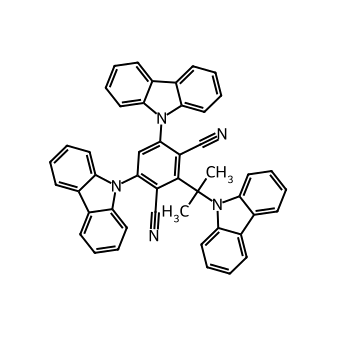 CC(C)(c1c(C#N)c(-n2c3ccccc3c3ccccc32)cc(-n2c3ccccc3c3ccccc32)c1C#N)n1c2ccccc2c2ccccc21